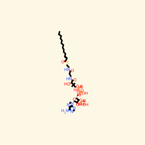 CCCCCCCCCCCC=CC(=O)SCCNC(=O)CCNC(=O)[C@H](O)C(C)(C)COP(=O)(O)OP(=O)(O)OC[C@H]1O[C@@H](n2cnc3c(N)ncnc32)[C@H](O)[C@@H]1OP(=O)(O)O